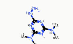 CCN(CC)c1nc(NN)nc(N(CC)CC)n1